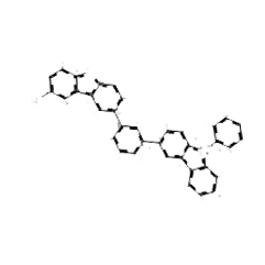 Brc1ccc2sc3ccc(-c4cccc(-c5ccc6c(c5)c5ccccc5n6-c5ccccc5)c4)cc3c2c1